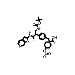 CC(C)(C)OC(=O)NCC(C(=O)Nc1cc2ccncc2s1)c1ccc(CC2(C(=O)O)CCC(O[N+](=O)[O-])CC2)cc1